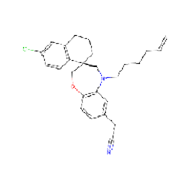 C=CCCCCN1C[C@@]2(CCCc3cc(Cl)ccc32)COc2ccc(CC#N)cc21